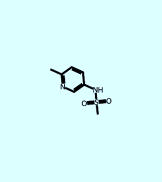 Cc1ccc(NS(C)(=O)=O)cn1